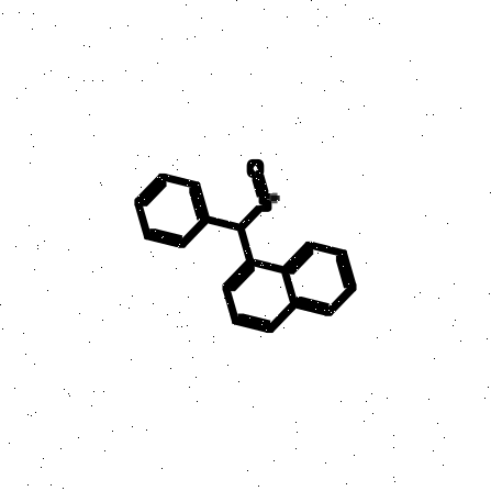 O=[S+]C(c1ccccc1)c1cccc2ccccc12